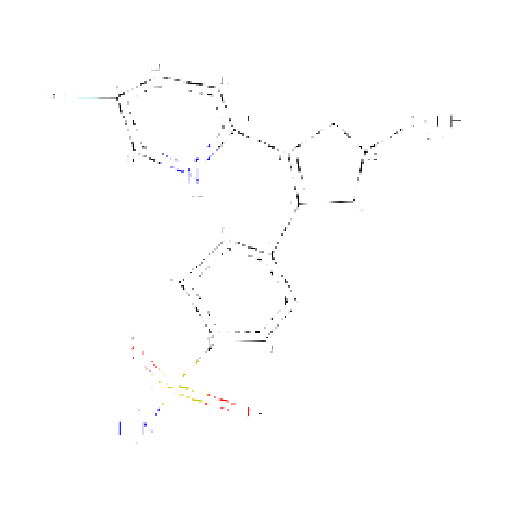 NS(=O)(=O)c1ccc(C2=C(c3ccc(F)cn3)CC(C(=O)O)C2)cc1